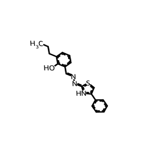 CCCc1cccc(/C=N/N=c2/[nH]c(-c3ccccc3)cs2)c1O